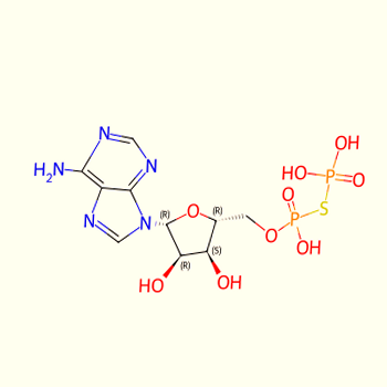 Nc1ncnc2c1ncn2[C@@H]1O[C@H](COP(=O)(O)SP(=O)(O)O)[C@@H](O)[C@H]1O